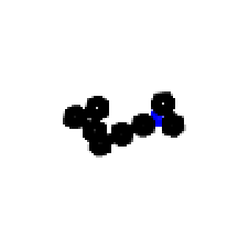 c1cc(-c2ccc(-c3ccc(-n4c5ccccc5c5ccccc54)cc3)cc2)c2cc3c4ccccc4c4ccccc4c3cc2c1